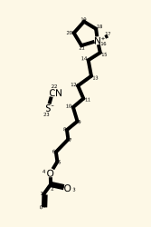 C=CC(=O)OCCCCCCCCCCC[N+]1(C)CCCC1.N#C[S-]